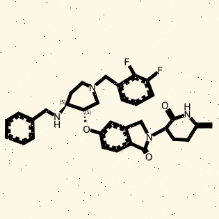 C=C1CCC(N2Cc3cc(O[C@H]4CN(Cc5cccc(F)c5F)CC[C@@H]4NCc4ccccc4)ccc3C2=O)C(=O)N1